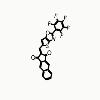 O=C1C(=Cc2cc3oc(-c4c(F)c(F)c(F)c(F)c4F)nc3s2)C(=O)c2cc3ccccc3cc21